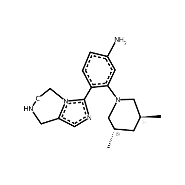 C[C@H]1C[C@H](C)CN(c2cc(N)ccc2-c2ncc3n2CCNC3)C1